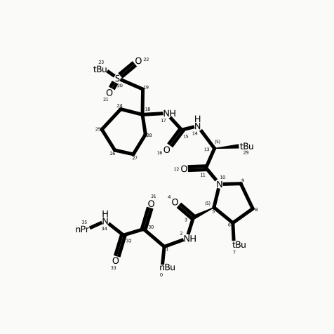 CCCCC(NC(=O)[C@@H]1C(C(C)(C)C)CCN1C(=O)[C@@H](NC(=O)NC1(CS(=O)(=O)C(C)(C)C)CCCCC1)C(C)(C)C)C(=O)C(=O)NCCC